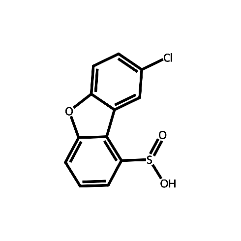 O=S(O)c1cccc2oc3ccc(Cl)cc3c12